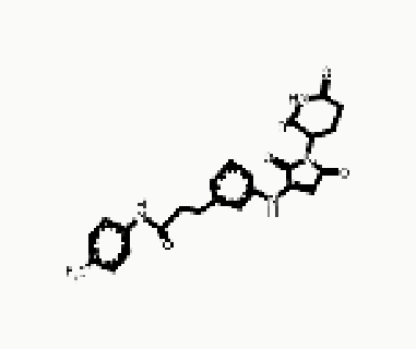 O=C1CCC(N2C(=O)C=C(Nc3cccc(CCC(=O)Nc4ccc(C(F)(F)F)cc4)c3)C2=O)C(=O)N1